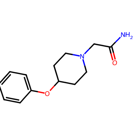 NC(=O)CN1CCC(Oc2ccccc2)CC1